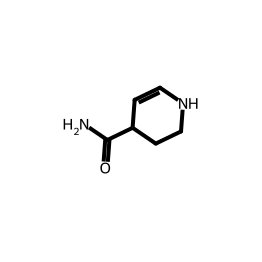 NC(=O)C1C=CNCC1